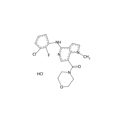 Cl.Cn1ccc2c(Nc3cccc(Cl)c3F)ncc(C(=O)N3CCOCC3)c21